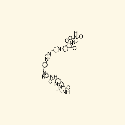 C[C@@H]1CNC(=O)c2cc3ccc(C(=O)Nc4cnn(Cc5ccc(N6CCN(CC7CCN(c8ccc9c(c8)C(=O)N(N8CCC(=O)NC8=O)C9=O)CC7)CC6)cc5)c4)nc3n21